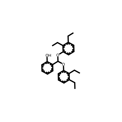 CCc1cccc(OC(Oc2cccc(CC)c2CC)c2ccccc2O)c1CC